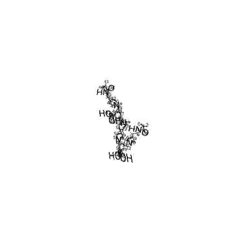 C=C(C)C(=O)NCCc1cc[n+](Cc2cc(C[n+]3ccc(-c4cc[n+](Cc5cc(C[n+]6ccc(CCNC(=O)C(=C)C)cc6)cc(B(O)O)c5)cc4)cc3)cc(B(O)O)c2)cc1